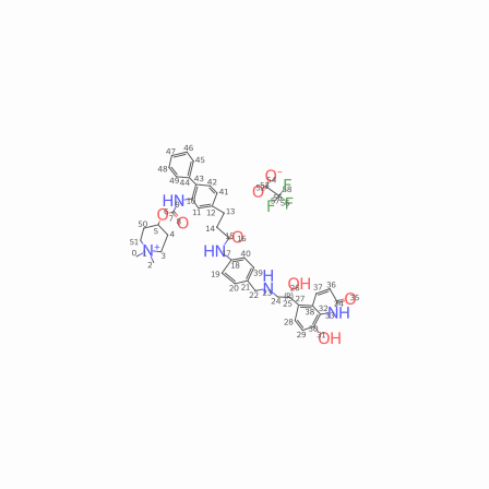 C[N+]1(C)CCC(OC(=O)Nc2cc(CCC(=O)Nc3ccc(CNC[C@H](O)c4ccc(O)c5[nH]c(=O)ccc45)cc3)ccc2-c2ccccc2)CC1.O=C([O-])C(F)(F)F